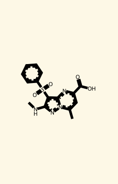 CNc1nn2c(C)cc(C(=O)O)nc2c1S(=O)(=O)c1ccccc1